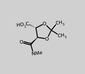 CNC(=O)[C@@H]1OC(C)(C)O[C@H]1C(=O)O